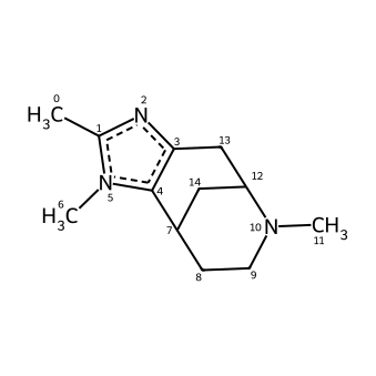 Cc1nc2c(n1C)C1CCN(C)C(C2)C1